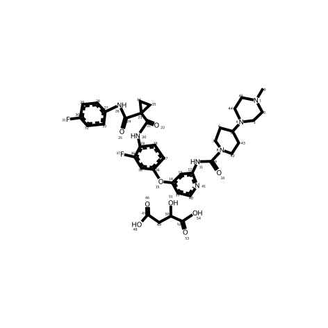 CN1CCN(C2CCN(C(=O)Nc3cc(Oc4ccc(NC(=O)C5(C(=O)Nc6ccc(F)cc6)CC5)c(F)c4)ccn3)CC2)CC1.O=C(O)CC(O)C(=O)O